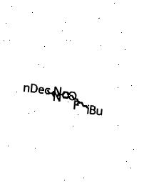 CCCCCCCCCCCc1cnc(-c2ccc(OCCC(F)CCCC(C)CC)cc2)nc1